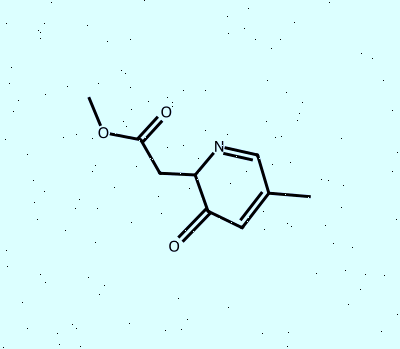 COC(=O)CC1N=CC(C)=CC1=O